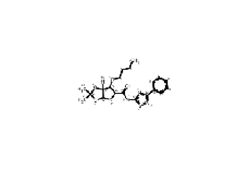 CCCCO[C@H]1[C@@H](C(=O)Nc2nc(-c3ccccc3)ns2)OC2OC(C)(C)O[C@@H]21